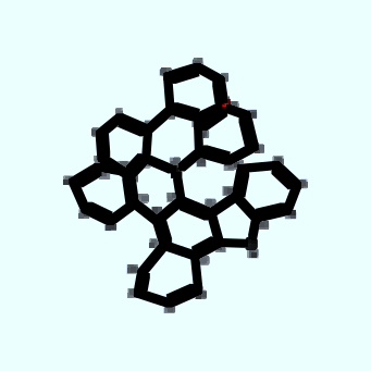 c1ccc(-c2ccccc2N(c2ccccc2)c2c(-c3ccccc3)c3ccccc3c3oc4ccccc4c23)cc1